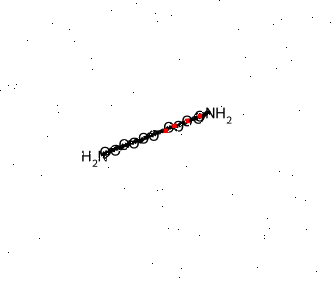 NCCOOCCOCCOCCOCCCCOCCOCCOCCOCCOCCON